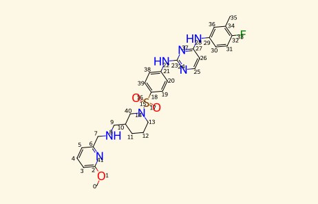 COc1cccc(CNCC2CCCN(S(=O)(=O)c3ccc(Nc4nccc(Nc5ccc(F)c(C)c5)n4)cc3)C2)n1